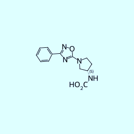 O=C(O)N[C@H]1CCN(c2nc(-c3ccccc3)no2)C1